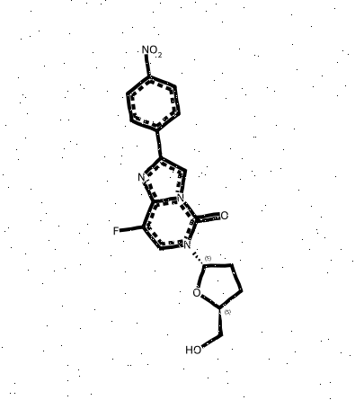 O=c1n([C@@H]2CC[C@@H](CO)O2)cc(F)c2nc(-c3ccc([N+](=O)[O-])cc3)cn12